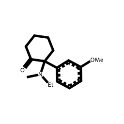 CCN(C)C1(c2cccc(OC)c2)CCCCC1=O